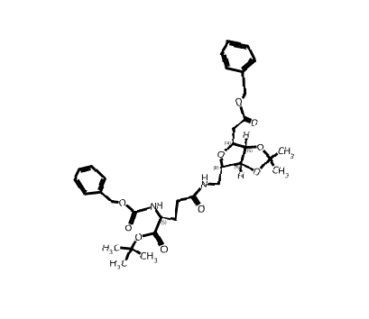 CC(C)(C)OC(=O)[C@H](CCC(=O)NC[C@H]1O[C@@H](CC(=O)OCc2ccccc2)[C@@H]2OC(C)(C)O[C@@H]21)NC(=O)OCc1ccccc1